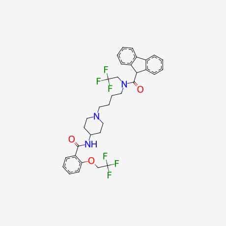 O=C(NC1CCN(CCCCN(CC(F)(F)F)C(=O)C2c3ccccc3-c3ccccc32)CC1)c1ccccc1OCC(F)(F)F